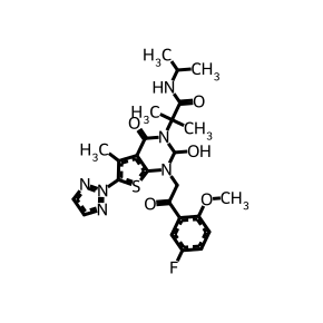 COc1ccc(F)cc1C(=O)CN1c2sc(-n3nccn3)c(C)c2C(=O)N(C(C)(C)C(=O)NC(C)C)C1O